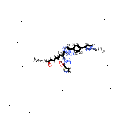 CNC(=O)CCCCC[C@H](NC(=O)c1ccns1)c1ncc(-c2ccc(-c3ccn(C)n3)cc2)[nH]1